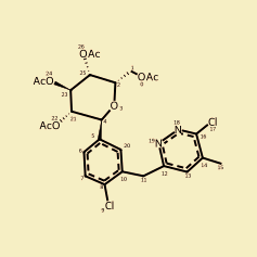 CC(=O)OC[C@@H]1O[C@@H](c2ccc(Cl)c(Cc3cc(C)c(Cl)nn3)c2)[C@H](OC(C)=O)[C@@H](OC(C)=O)[C@@H]1OC(C)=O